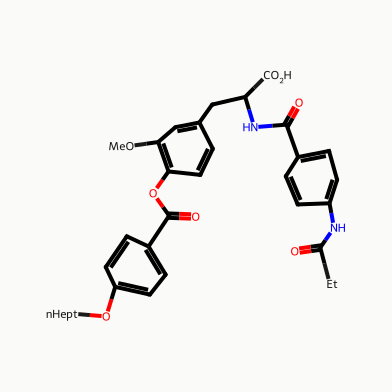 CCCCCCCOc1ccc(C(=O)Oc2ccc(CC(NC(=O)c3ccc(NC(=O)CC)cc3)C(=O)O)cc2OC)cc1